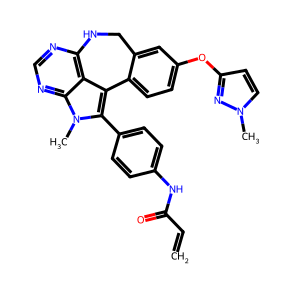 C=CC(=O)Nc1ccc(-c2c3c4c(ncnc4n2C)NCc2cc(Oc4ccn(C)n4)ccc2-3)cc1